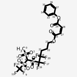 CS(=O)(=O)C(S(=O)(=O)C(F)(F)F)S(=O)(=O)C(F)(F)C(F)(F)CCCOC(=O)/C=C\C(=O)Oc1ccccc1